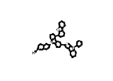 N#Cc1ccc2cc(-n3c4ccc(-c5ccc6c(c5)c5ccccc5n6-c5ccccc5)cc4c4c(-c5cccc6c5oc5ccccc56)cccc43)ccc2c1